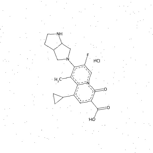 Cc1c(N2CC3CCNC3C2)c(F)cn2c(=O)c(C(=O)O)cc(C3CC3)c12.Cl